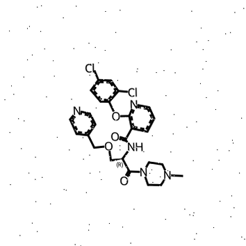 CN1CCN(C(=O)[C@@H](COCc2ccncc2)NC(=O)c2cccnc2Oc2ccc(Cl)cc2Cl)CC1